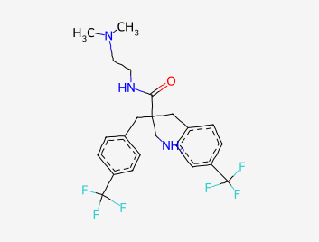 CN(C)CCNC(=O)C(CN)(Cc1ccc(C(F)(F)F)cc1)Cc1ccc(C(F)(F)F)cc1